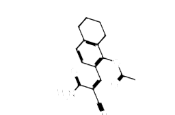 CC(=O)Oc1c(C=C(C#N)C(N)=O)ccc2c1CCCC2